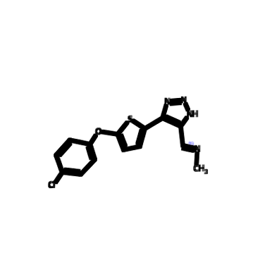 C/N=C/c1[nH]nnc1-c1ccc(Oc2ccc(Cl)cc2)s1